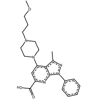 COCCCN1CCN(c2cc(C(=O)O)nc3c2c(C)nn3-c2ccccc2)CC1